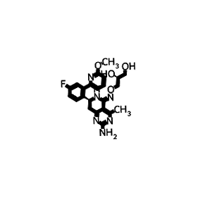 COc1cccc(-c2cc(F)ccc2[C@@H]2Cc3nc(N)nc(C)c3/C(=N/OC[C@H](O)CO)N2)n1